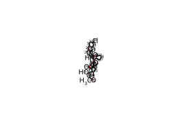 CC(=O)OCC1=C(C(=O)O)N2C(=O)C(NC(=O)C(NC(=O)N3CCC(=Cc4ccc(Cl)cc4)C3=O)c3ccccc3)[C@@H]2SC1